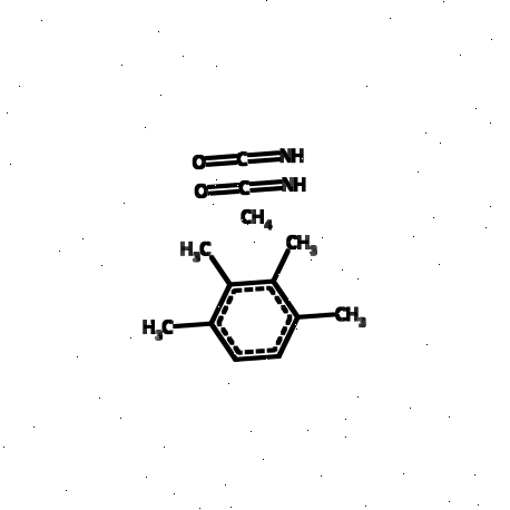 C.Cc1ccc(C)c(C)c1C.N=C=O.N=C=O